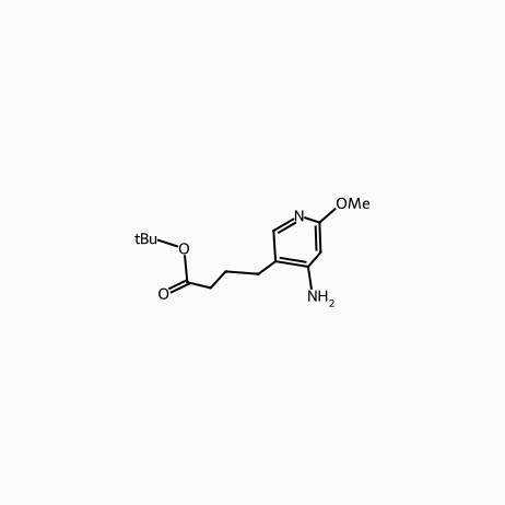 COc1cc(N)c(CCCC(=O)OC(C)(C)C)cn1